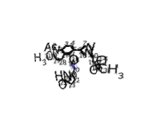 CC(=O)N1c2ccc(-c3cnn(CCS(C)(=O)=O)c3)c(O/C=C/[C@H]3CCC(=O)N3)c2CC[C@@H]1C